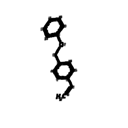 C=Cc1ccc(COc2ccccc2)cc1